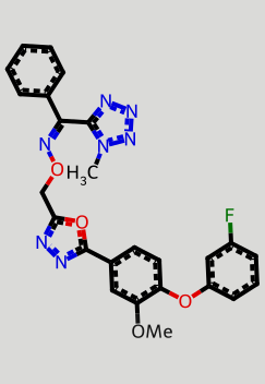 COc1cc(-c2nnc(CO/N=C(/c3ccccc3)c3nnnn3C)o2)ccc1Oc1cccc(F)c1